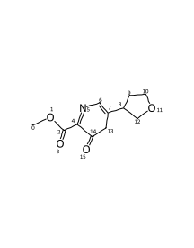 COC(=O)C1=NC=C(C2CCOC2)CC1=O